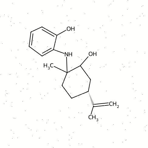 C=C(C)[C@@H]1CCC(C)(Nc2ccccc2O)C(O)C1